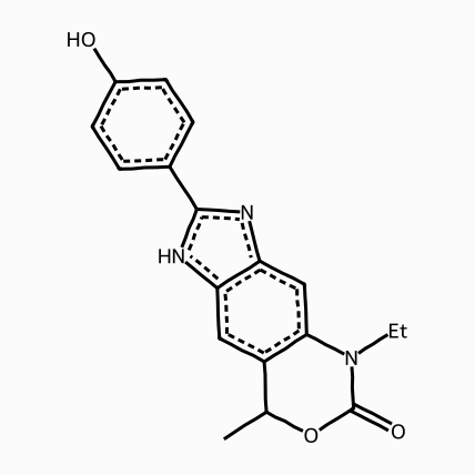 CCN1C(=O)OC(C)c2cc3[nH]c(-c4ccc(O)cc4)nc3cc21